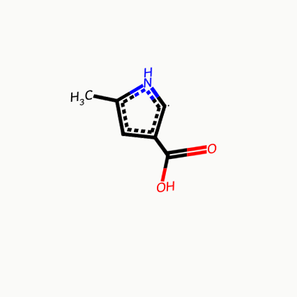 Cc1cc(C(=O)O)[c][nH]1